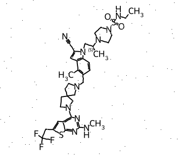 CCNS(=O)(=O)N1CCN([C@@H](C)Cn2c(C#N)cc3c(C)c(CN4CCC5(CCN(c6nc(NC)nc7sc(CC(F)(F)F)cc67)C5)C4)ccc32)CC1